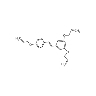 C=CCOc1ccc(C=Cc2cc(OCC=C)cc(OCC=C)c2)cc1